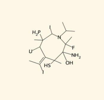 C/C(I)=C1\[CH]([U])C(C)(P)C(I)N(C(C)C)C(C)(F)C(N)(O)C1(C)S